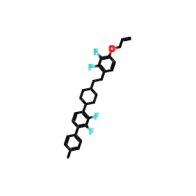 C=CCOc1ccc(CCC2CCC(c3ccc(-c4ccc(C)cc4)c(F)c3F)CC2)c(F)c1F